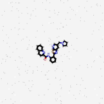 O=C(Nc1ccccc1-c1nc2cc(CN3CCCC3)cnc2s1)c1ccc2ccccc2n1